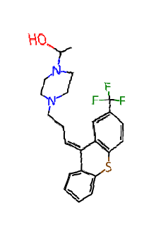 CC(O)N1CCN(CC/C=C2/c3ccccc3Sc3ccc(C(F)(F)F)cc32)CC1